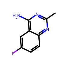 Cc1nc(N)c2cc(I)ccc2n1